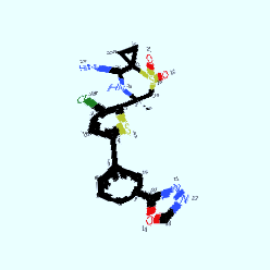 C[C@@]1(c2sc(-c3cccc(-c4nnco4)c3)cc2Cl)CS(=O)(=O)C2(CC2)C(=N)N1